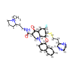 CN1CCCC1CCNC(=O)c1cn2c3c(c(SCCc4cnccn4)c(F)cc3c1=O)Oc1c-2ccc2ccccc12